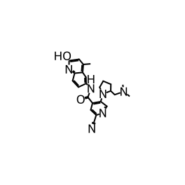 Cc1cc(O)nc2ccc(NC(=O)c3cc(C#N)ncc3N3CCCC3CN(C)C)cc12